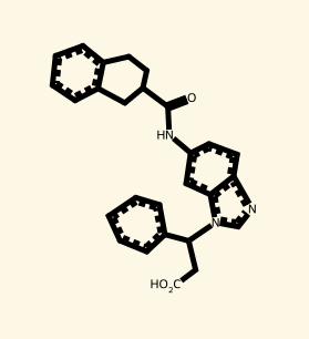 O=C(O)CC(c1ccccc1)n1cnc2ccc(NC(=O)C3CCc4ccccc4C3)cc21